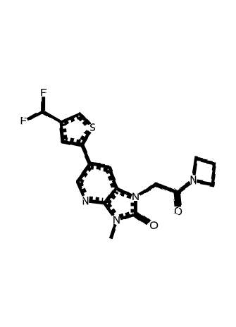 Cn1c(=O)n(CC(=O)N2CCC2)c2cc(-c3cc(C(F)F)cs3)cnc21